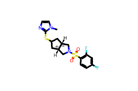 Cn1ccnc1SC1C[C@@H]2CN(S(=O)(=O)c3ccc(F)cc3F)C[C@@H]2C1